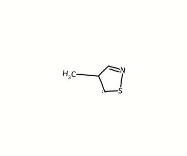 CC1[C]SN=C1